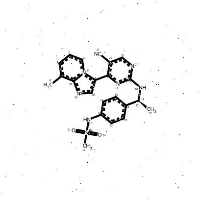 Cc1cccn2c(-c3nc(N[C@@H](C)c4ccc(NS(C)(=O)=O)cc4)ncc3C#N)cnc12